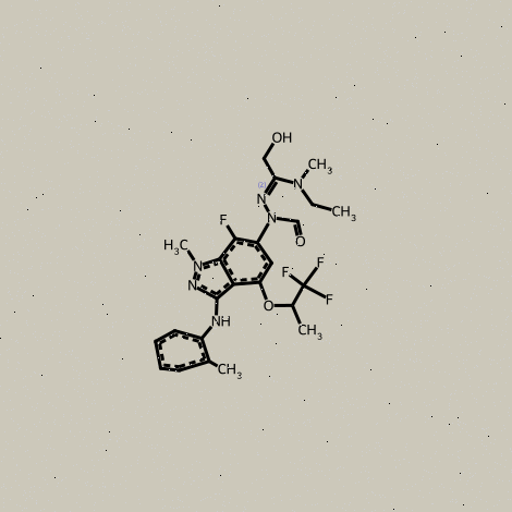 CCN(C)/C(CO)=N\N(C=O)c1cc(OC(C)C(F)(F)F)c2c(Nc3ccccc3C)nn(C)c2c1F